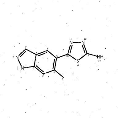 Cc1cc2[nH]ncc2cc1-c1nnc(N)s1